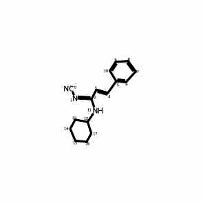 N#C/N=C(\C=C\c1ccccc1)NC1CCCCC1